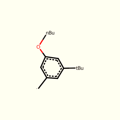 [CH2]c1cc(OCCCC)cc(C(C)(C)C)c1